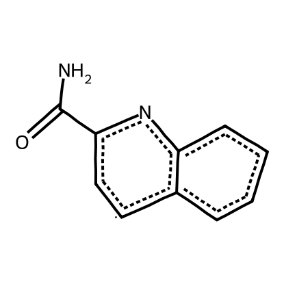 NC(=O)c1c[c]c2ccccc2n1